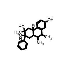 CCC12CC(C)(O)C(O)(c3ccccc3)CC1C(C)C(C)c1cc(O)ccc12